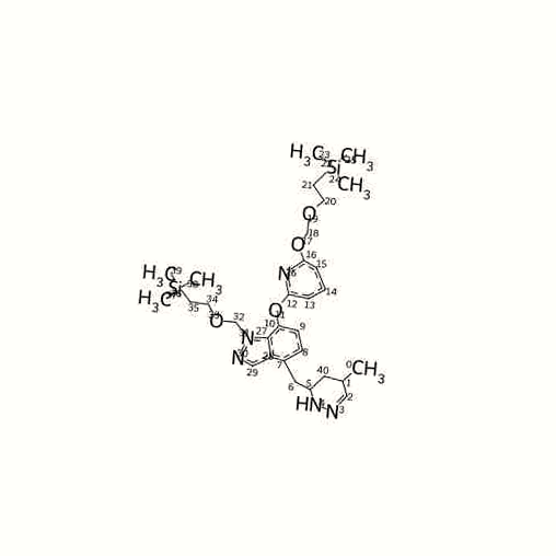 CC1C=NNC(Cc2ccc(Oc3cccc(OCOCC[Si](C)(C)C)n3)c3c2cnn3COCC[Si](C)(C)C)C1